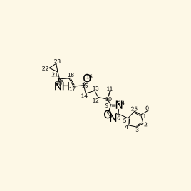 Cc1cccc(-c2noc([C@H](C)CCCC(=O)/C=C/C(=N)C3CC3)n2)c1